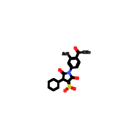 COC(=O)c1ccc(N2C(=O)C(=S(=O)=O)C(C3CCCCC3)C2=O)cc1OC(C)=O